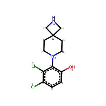 Oc1ccc(Cl)c(Cl)c1N1CCC2(CC1)CNC2